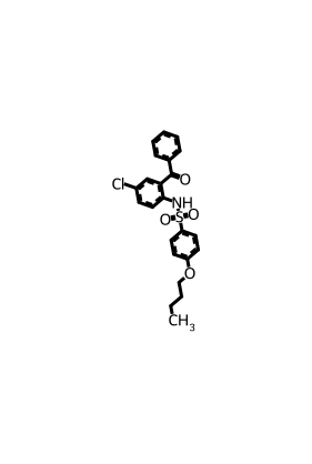 CCCCOc1ccc(S(=O)(=O)Nc2ccc(Cl)cc2C(=O)c2ccccc2)cc1